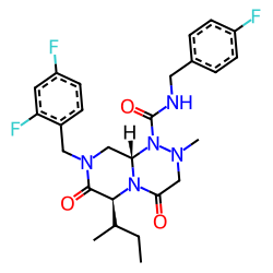 CCC(C)[C@H]1C(=O)N(Cc2ccc(F)cc2F)C[C@H]2N1C(=O)CN(C)N2C(=O)NCc1ccc(F)cc1